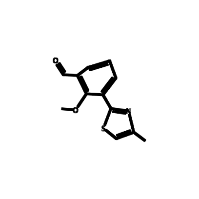 COc1c(C=O)cccc1-c1nc(C)cs1